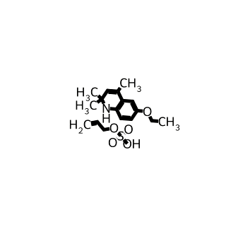 C=CCOS(=O)(=O)O.CCOc1ccc2c(c1)C(C)=CC(C)(C)N2